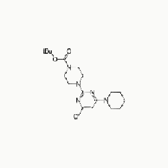 CC(C)(C)OC(=O)N1CCN(c2nc(Cl)cc(N3CCCCC3)n2)CC1